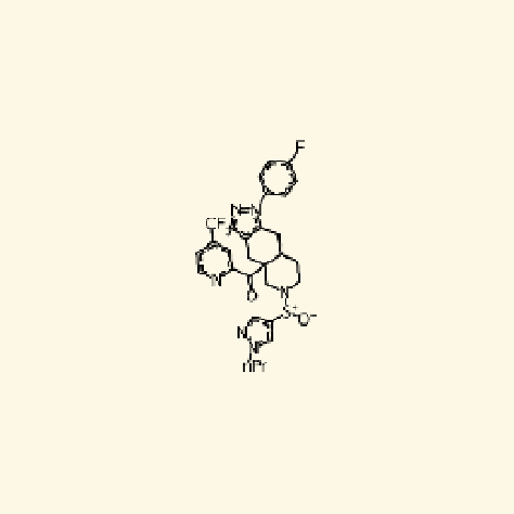 CCCn1cc([S+]([O-])N2CCC3Cc4c(cnn4-c4ccc(F)cc4)CC3(C(=O)c3cc(C(F)(F)F)ccn3)C2)cn1